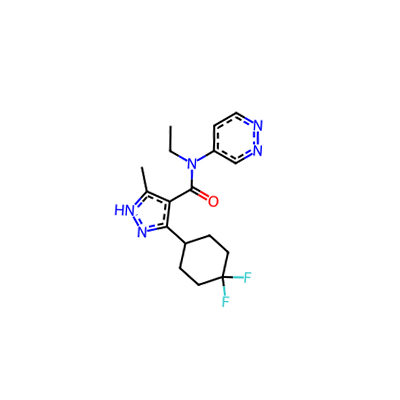 CCN(C(=O)c1c(C2CCC(F)(F)CC2)n[nH]c1C)c1ccnnc1